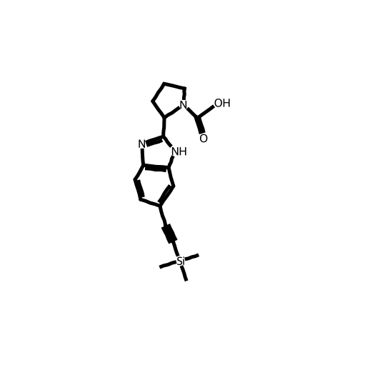 C[Si](C)(C)C#Cc1ccc2nc(C3CCCN3C(=O)O)[nH]c2c1